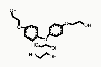 OCCO.OCCO.OCCOc1ccc(Oc2ccc(OCCO)cc2)cc1